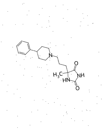 CC1(CCCN2CCC(c3ccccc3)CC2)NC(=O)NC1=O